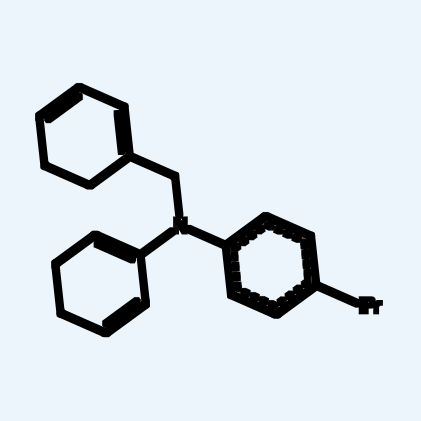 CC(C)c1ccc(N(CC2=CC=CCC2)C2=CCCC=C2)cc1